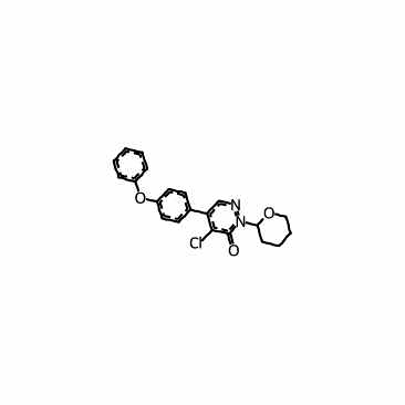 O=c1c(Cl)c(-c2ccc(Oc3ccccc3)cc2)cnn1C1CCCCO1